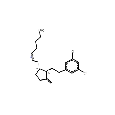 O=CCCC/C=C\C[C@H]1CCC(=S)[C@@H]1CCc1cc(Cl)cc(Cl)c1